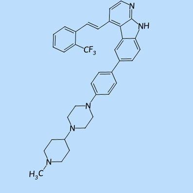 CN1CCC(N2CCN(c3ccc(-c4ccc5[nH]c6nccc(C=Cc7ccccc7C(F)(F)F)c6c5c4)cc3)CC2)CC1